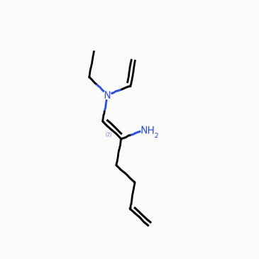 C=CCC/C(N)=C/N(C=C)CC